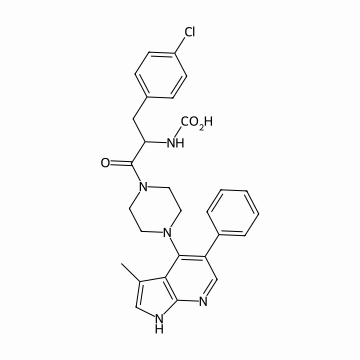 Cc1c[nH]c2ncc(-c3ccccc3)c(N3CCN(C(=O)C(Cc4ccc(Cl)cc4)NC(=O)O)CC3)c12